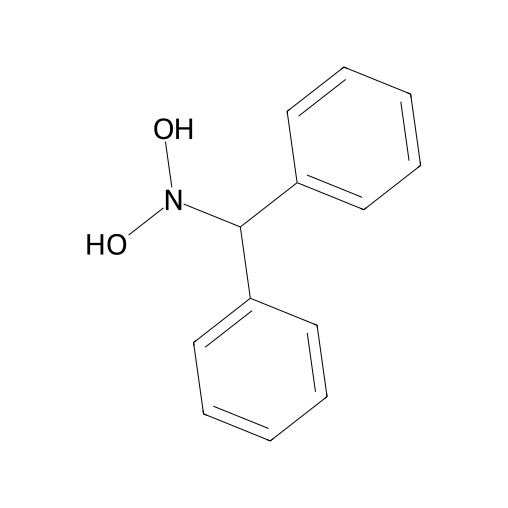 ON(O)C(c1ccccc1)c1ccccc1